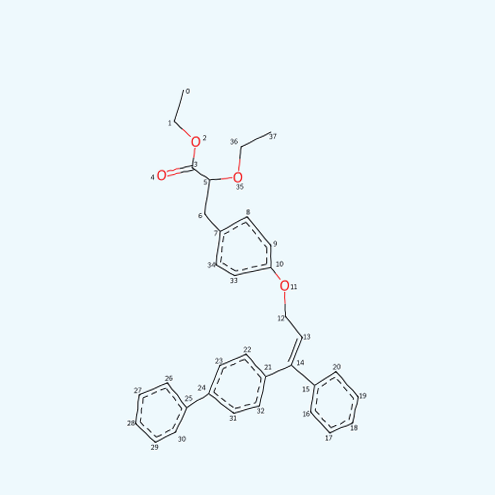 CCOC(=O)C(Cc1ccc(OCC=C(c2ccccc2)c2ccc(-c3ccccc3)cc2)cc1)OCC